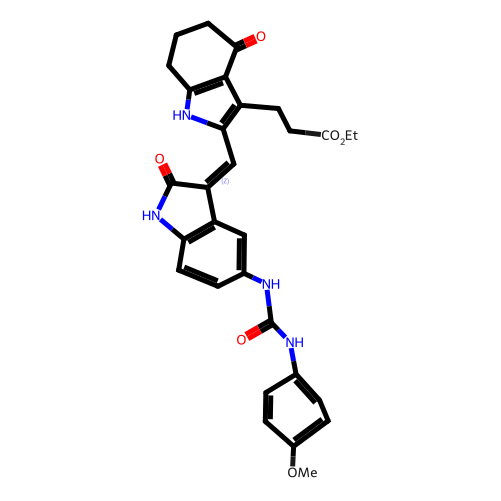 CCOC(=O)CCc1c(/C=C2\C(=O)Nc3ccc(NC(=O)Nc4ccc(OC)cc4)cc32)[nH]c2c1C(=O)CCC2